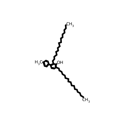 CCCCCCCCCCCCCCCCCCc1ccc(-c2ccc(C)cc2)c(CCCCCCCCCCCCCCCCCC)c1O